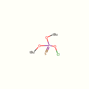 CC(C)(C)OP(=S)(OCl)OC(C)(C)C